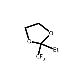 CCC1(C(F)(F)F)OCCO1